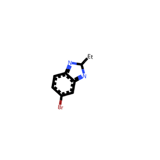 CCC1N=c2ccc(Br)cc2=N1